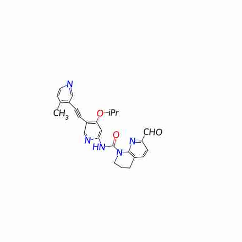 Cc1ccncc1C#Cc1cnc(NC(=O)N2CCCc3ccc(C=O)nc32)cc1OC(C)C